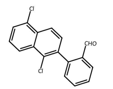 O=Cc1ccccc1-c1ccc2c(Cl)cccc2c1Cl